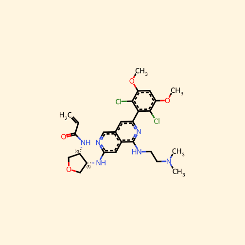 C=CC(=O)N[C@H]1COC[C@H]1Nc1cc2c(NCCN(C)C)nc(-c3c(Cl)c(OC)cc(OC)c3Cl)cc2cn1